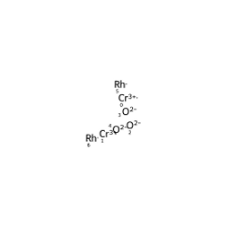 [Cr+3].[Cr+3].[O-2].[O-2].[O-2].[Rh].[Rh]